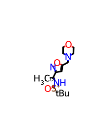 C[C@H](N[S+]([O-])C(C)(C)C)c1cc(CN2CCOCC2)on1